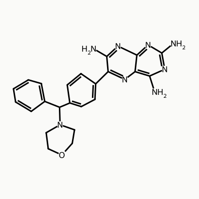 Nc1nc(N)c2nc(-c3ccc(C(c4ccccc4)N4CCOCC4)cc3)c(N)nc2n1